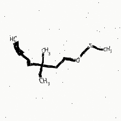 C#CCC(C)(C)CCOSC